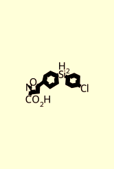 O=C(O)c1cc(-c2ccc([SiH2]c3ccc(Cl)cc3)cc2)on1